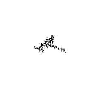 [N-]=[N+]=NCCOCCOCCOCCNC(=O)C(CNC(=O)c1cc(CBr)nc(CBr)c1)CNC(=O)c1cc(CBr)nc(CBr)c1